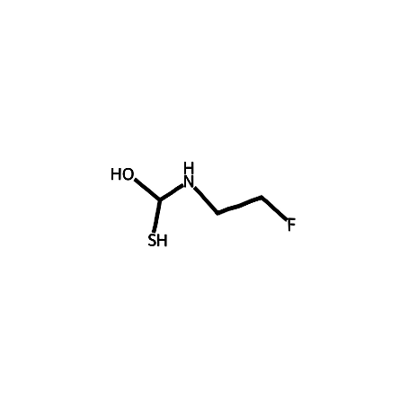 OC(S)NCCF